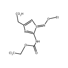 CCON=S1C=C(CC(=O)O)N=C1NC(=O)OCC(Cl)(Cl)Cl